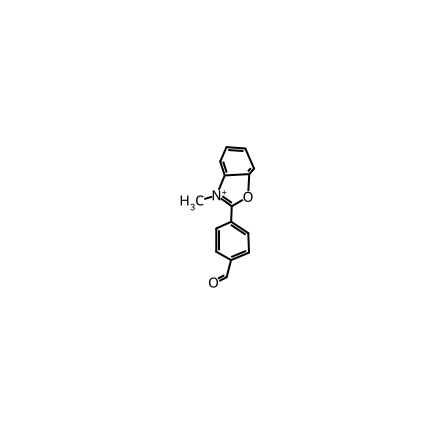 C[n+]1c(-c2ccc(C=O)cc2)oc2ccccc21